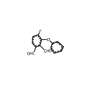 O=Cc1ccc(F)c(Oc2ccccc2)c1C=O